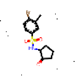 Cc1cc(S(=O)(=O)NC2CCCC2=O)ccc1Br